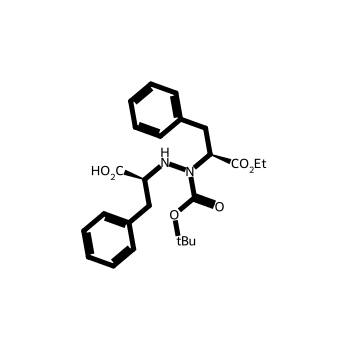 CCOC(=O)[C@H](Cc1ccccc1)N(N[C@@H](Cc1ccccc1)C(=O)O)C(=O)OC(C)(C)C